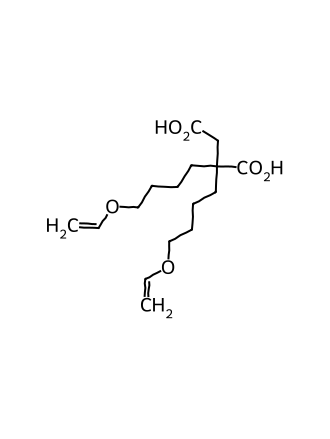 C=COCCCCC(CCCCOC=C)(CC(=O)O)C(=O)O